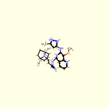 COc1c(Nc2cc(C)[nH]n2)nc(N[C@@H]2C[C@H]3CC[C@@H](C2)N3CCC#N)c2cccnc12